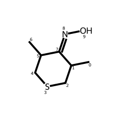 CC1CSCC(C)C1=NO